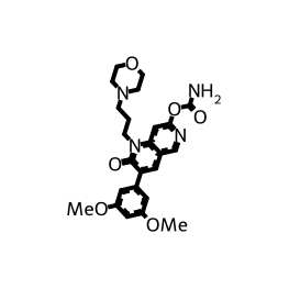 COc1cc(OC)cc(-c2cc3cnc(OC(N)=O)cc3n(CCCN3CCOCC3)c2=O)c1